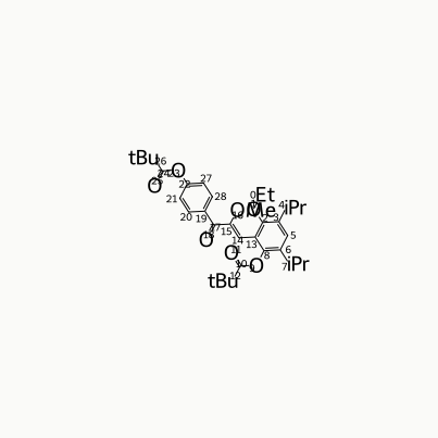 CCOc1c(C(C)C)cc(C(C)C)c(OC(=O)C(C)(C)C)c1C=C(OC)C(=O)c1ccc(OC(=O)C(C)(C)C)cc1